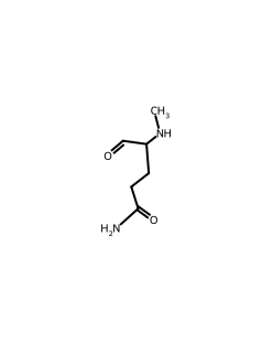 CNC(C=O)CCC(N)=O